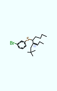 CC/C=C(/CC(C)(C)C)C(CCCC)Sc1cccc(Br)c1